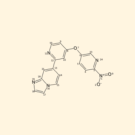 O=[N+]([O-])c1ccc(Oc2ccnc(-c3ccn4ccnc4c3)c2)cn1